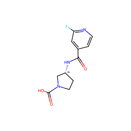 O=C(N[C@@H]1CCN(C(=O)O)C1)c1ccnc(F)c1